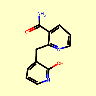 NC(=O)c1cccnc1Cc1cccnc1O